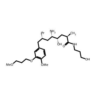 COCCCOc1cc(C[C@@H](C[C@H](N)[C@@H](O)C[C@@H](C)C(=O)NCCCO)C(C)C)ccc1OC